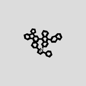 c1ccc(-c2ccc(-c3ccccc3)n2-c2ccc3c(-c4ccc5ccccc5c4)c4ccccc4c(-c4ccc5c(c4)C4(CCCC4)c4ccccc4-5)c3c2)cc1